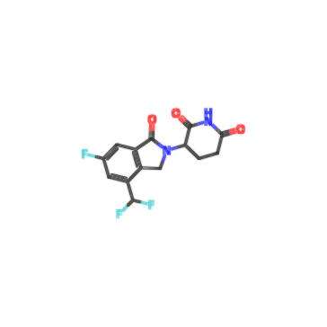 O=C1CCC(N2Cc3c(cc(F)cc3C(F)F)C2=O)C(=O)N1